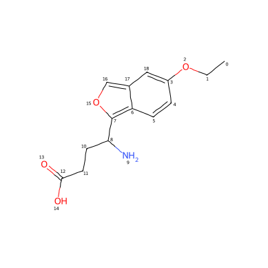 CCOc1ccc2c(C(N)CCC(=O)O)occ2c1